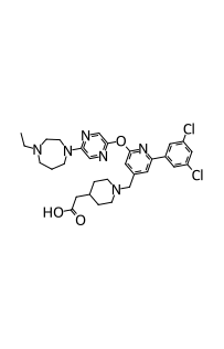 CCN1CCCN(c2cnc(Oc3cc(CN4CCC(CC(=O)O)CC4)cc(-c4cc(Cl)cc(Cl)c4)n3)cn2)CC1